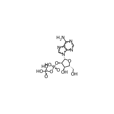 Nc1ncnc2c1ncn2[C@@H]1O[C@H](CO)[C@@H](O)[C@H]1OP(=O)(O)OP(=O)(O)O